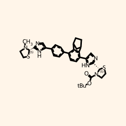 CN1CCS[C@H]1c1ncc(-c2ccc(-c3ccc(-c4cnc([C@@H]5SCCN5C(=O)OC(C)(C)C)[nH]4)c4c3C3CCC4C3)cc2)[nH]1